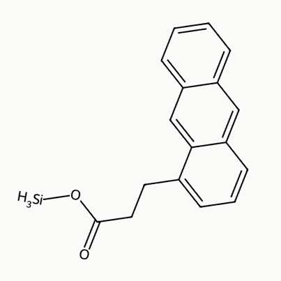 O=C(CCc1cccc2cc3ccccc3cc12)O[SiH3]